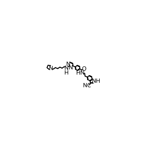 N#Cc1c[nH]c2ccc(CCNC(=O)c3ccc(-c4ccnc(NCCCCCCN5CCCC5)n4)cc3)cc12